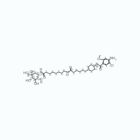 COc1cc(N)c(Cl)cc1C(=O)NC1CCN(CCCCCC(=O)NCCCCCCCC(=O)N[C@H]2C[C@](O)(CO)[C@@H](O)[C@H](O)[C@H]2O)CC1